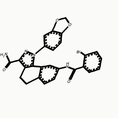 NC(=O)c1nn(-c2ccc3c(c2)OCO3)c2c1CCc1ccc(NC(=O)c3ccccc3Br)cc1-2